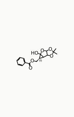 CC1(C)OC2OC3(O)C(C2O1)[C@H]3COC(=O)c1ccccc1